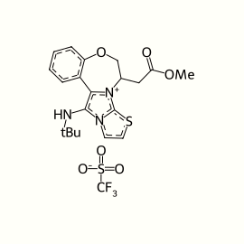 COC(=O)CC1COc2ccccc2-c2c(NC(C)(C)C)n3ccsc3[n+]21.O=S(=O)([O-])C(F)(F)F